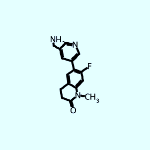 CN1C(=O)CCc2cc(-c3cncc(CN)c3)c(F)cc21